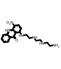 NCCNCCNCCNc1ccc([N+](=O)[O-])c2[nH]c3ccccc3c(=O)c12